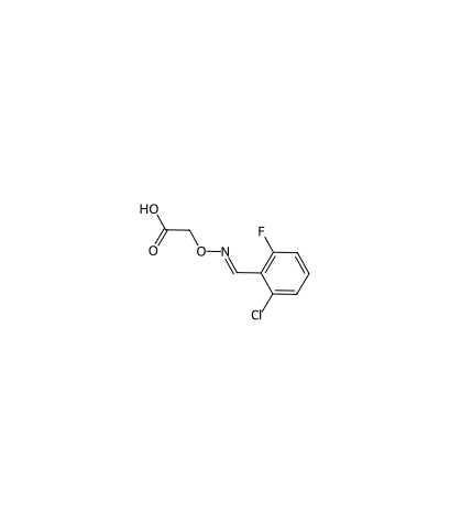 O=C(O)CON=Cc1c(F)cccc1Cl